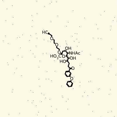 C#CCOCCOCCO[C@]1(C(=O)O)C[C@H](O)[C@@H](NC(C)=O)[C@H]([C@H](O)[C@H](O)CCC(=O)c2cccc(Oc3ccccc3)c2)O1